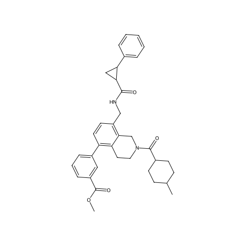 COC(=O)c1cccc(-c2ccc(CNC(=O)C3CC3c3ccccc3)c3c2CCN(C(=O)C2CCC(C)CC2)C3)c1